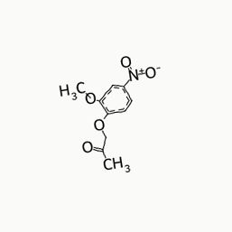 COc1cc([N+](=O)[O-])ccc1OCC(C)=O